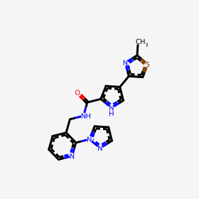 Cc1nc(-c2c[nH]c(C(=O)NCc3cccnc3-n3cccn3)c2)cs1